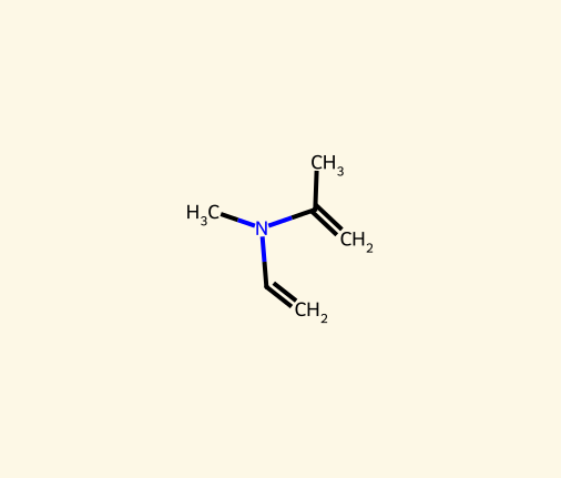 C=CN(C)C(=C)C